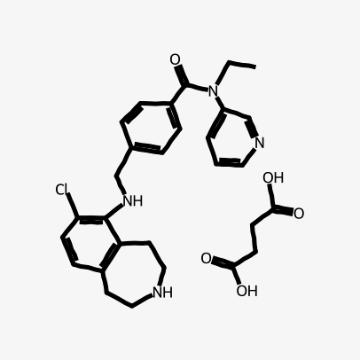 CCN(C(=O)c1ccc(CNc2c(Cl)ccc3c2CCNCC3)cc1)c1cccnc1.O=C(O)CCC(=O)O